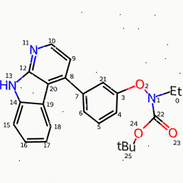 CCN(Oc1cccc(-c2ccnc3[nH]c4ccccc4c23)c1)C(=O)OC(C)(C)C